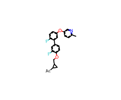 CC(=O)C1CC1COc1ccc(-c2cc(Oc3ccc(C)nc3)ccc2F)cc1F